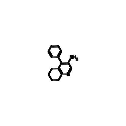 Nc1cnc2c(c1-c1ccccc1)CCCC2